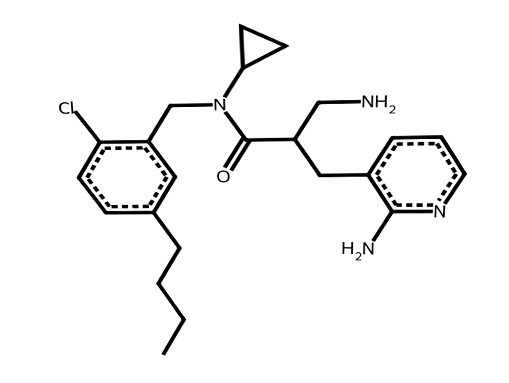 CCCCc1ccc(Cl)c(CN(C(=O)C(CN)Cc2cccnc2N)C2CC2)c1